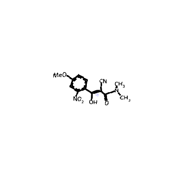 COc1ccc(/C(O)=C(\C#N)C(=O)N(C)C)c([N+](=O)[O-])c1